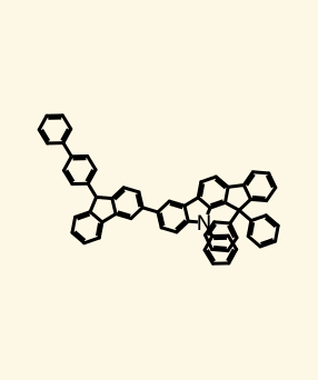 c1ccc(-c2ccc(C3c4ccccc4-c4cc(-c5ccc6c(c5)c5ccc7c(c5n6-c5ccccc5)C(c5ccccc5)(c5ccccc5)c5ccccc5-7)ccc43)cc2)cc1